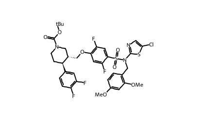 COc1ccc(CN(c2ncc(Cl)s2)S(=O)(=O)c2cc(F)c(OC[C@H]3CN(C(=O)OC(C)(C)C)CC[C@@H]3c3ccc(F)c(F)c3)cc2F)c(OC)c1